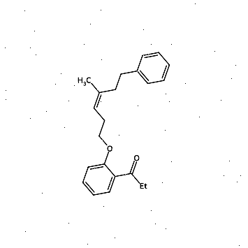 CCC(=O)c1ccccc1OCCC=C(C)CCc1ccccc1